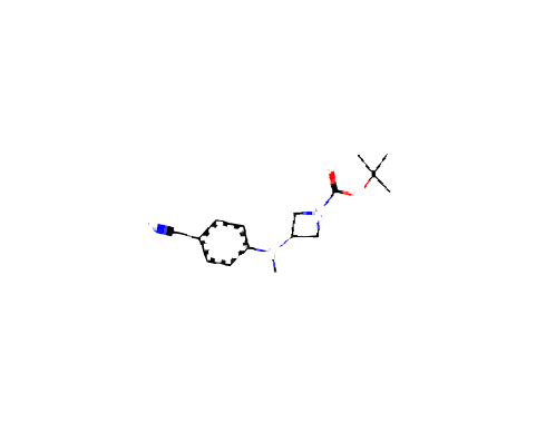 CN(c1ccc(C#N)cc1)C1CN(C(=O)OC(C)(C)C)C1